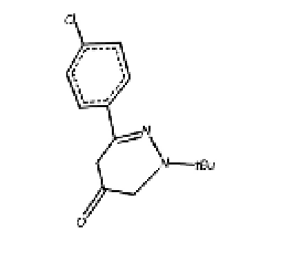 CC(C)(C)N1CC(=O)CC(c2ccc(Cl)cc2)=N1